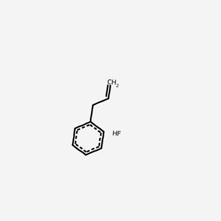 C=CCc1ccccc1.F